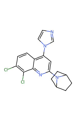 Clc1ccc2c(-n3ccnc3)cc(N3C4CCC3CC4)nc2c1Cl